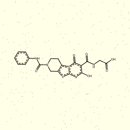 O=C(O)CNC(=O)c1c(O)nc2sc3c(n2c1=O)CCN(C(=O)Nc1ccccc1)C3